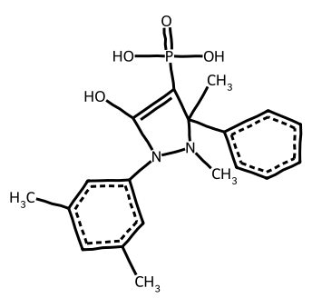 Cc1cc(C)cc(N2C(O)=C(P(=O)(O)O)C(C)(c3ccccc3)N2C)c1